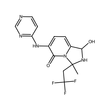 CC1(CC(F)(F)F)NC(O)c2ccc(Nc3ccncn3)c(=O)n21